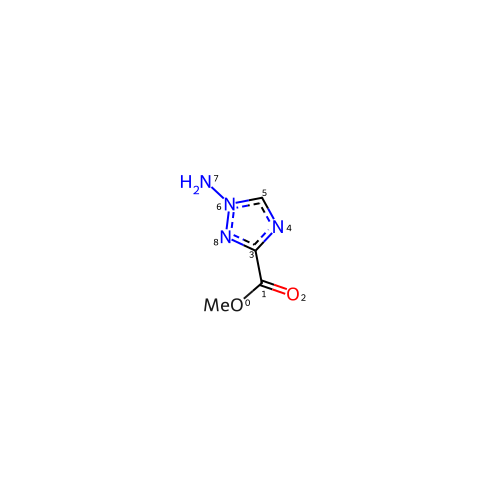 COC(=O)c1ncn(N)n1